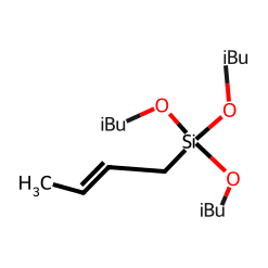 CC=CC[Si](OC(C)CC)(OC(C)CC)OC(C)CC